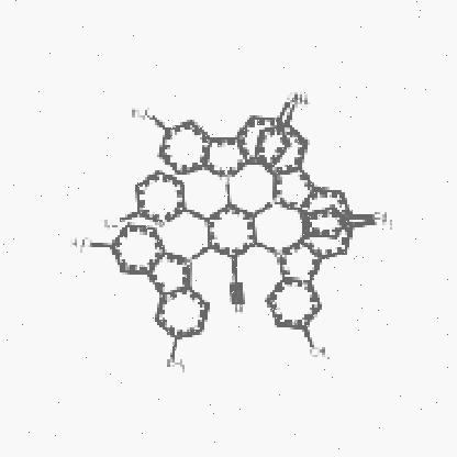 Cc1ccc2c(c1)c1cc(C)ccc1n2-c1c(C#N)c(-n2c3ccc(C)cc3c3cc(C)ccc32)c(-n2c3ccc(C)cc3c3cc(C)ccc32)c(-n2c3ccc(C)cc3c3cc(C)ccc32)c1-c1cccc(C)n1